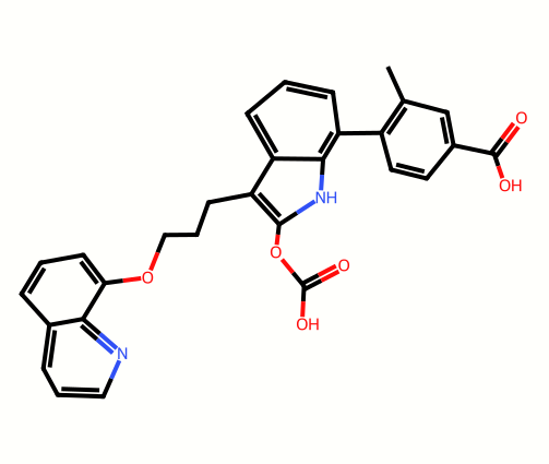 Cc1cc(C(=O)O)ccc1-c1cccc2c(CCCOc3cccc4cccnc34)c(OC(=O)O)[nH]c12